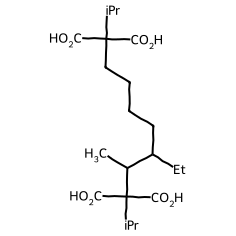 CCC(CCCCC(C(=O)O)(C(=O)O)C(C)C)C(C)C(C(=O)O)(C(=O)O)C(C)C